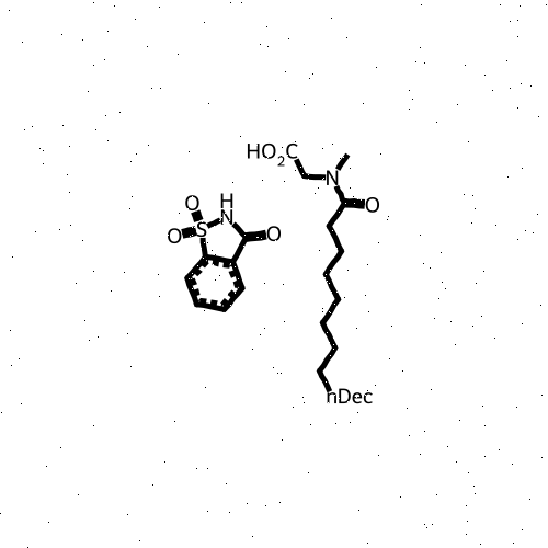 CCCCCCCCCCCCCCCCCC(=O)N(C)CC(=O)O.O=C1NS(=O)(=O)c2ccccc21